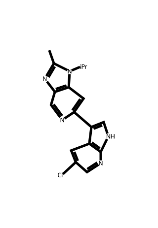 Cc1nc2cnc(-c3c[nH]c4ncc(Cl)cc34)cc2n1C(C)C